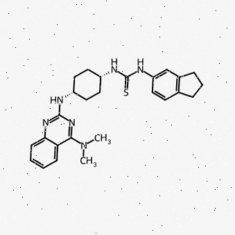 CN(C)c1nc(N[C@H]2CC[C@@H](NC(=S)Nc3ccc4c(c3)CCC4)CC2)nc2ccccc12